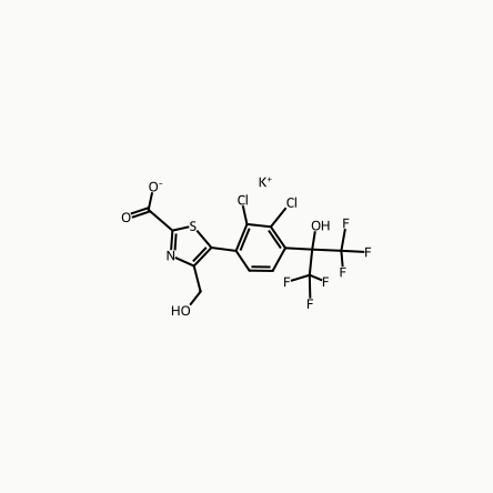 O=C([O-])c1nc(CO)c(-c2ccc(C(O)(C(F)(F)F)C(F)(F)F)c(Cl)c2Cl)s1.[K+]